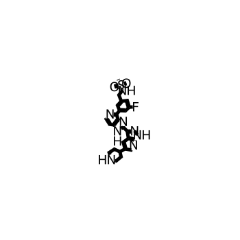 CS(=O)(=O)NCc1cc(F)cc(-c2nccc3[nH]c(-c4n[nH]c5ncc(C6CCNCC6)cc45)nc23)c1